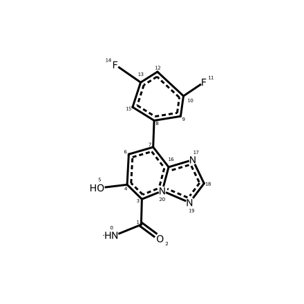 [NH]C(=O)c1c(O)cc(-c2cc(F)cc(F)c2)c2ncnn12